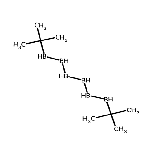 CC(C)(C)BBBBBBC(C)(C)C